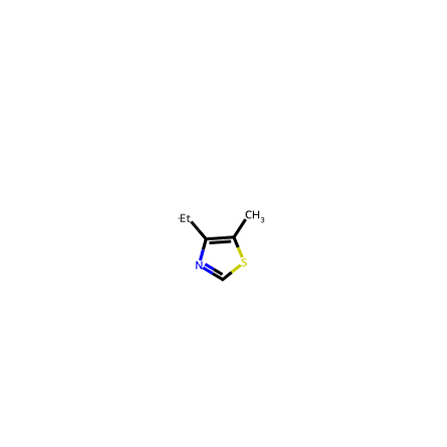 C[CH]c1ncsc1C